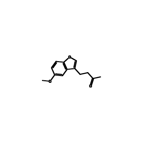 COc1ccc2occ(CCC(C)=O)c2c1